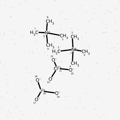 C[N+](C)(C)C.C[N+](C)(C)C.[O-][Cl+2]([O-])[O-].[O-][I+2]([O-])[O-]